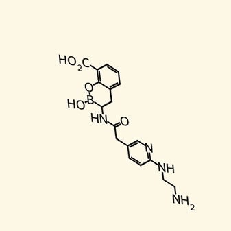 NCCNc1ccc(CC(=O)NC2Cc3cccc(C(=O)O)c3OB2O)cn1